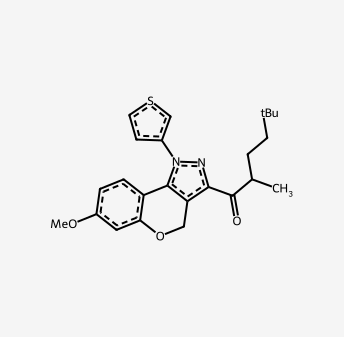 COc1ccc2c(c1)OCc1c(C(=O)C(C)CCC(C)(C)C)nn(-c3ccsc3)c1-2